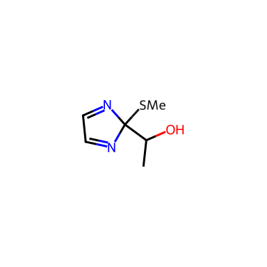 CSC1(C(C)O)N=CC=N1